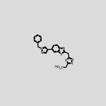 O=C(O)Cc1nnc(Cc2nc3ccc(-c4cnn(Cc5ccccc5)c4)cc3s2)o1